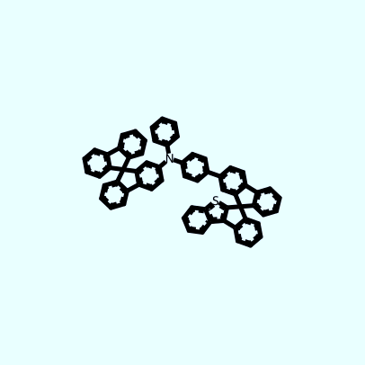 c1ccc(N(c2ccc(-c3ccc4c(c3)C3(c5ccccc5-4)c4ccccc4-c4c3sc3ccccc43)cc2)c2ccc3c(c2)C2(c4ccccc4-c4ccccc42)c2ccccc2-3)cc1